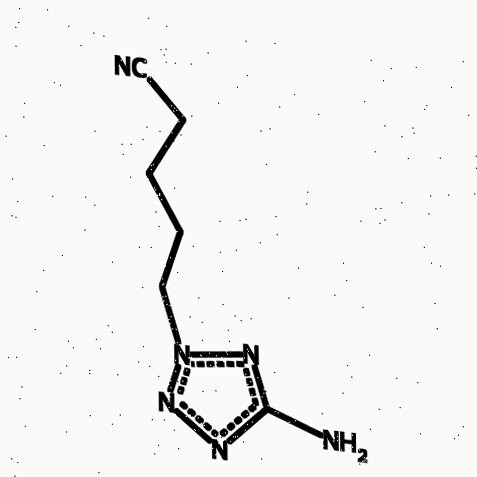 N#CCCCCn1nnc(N)n1